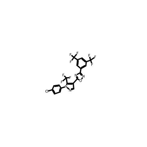 FC(F)(F)c1cc(-c2noc(-c3cnn(-c4ccc(Cl)cc4)c3C(F)(F)F)n2)cc(C(F)(F)F)c1